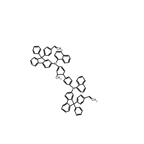 C=Cc1ccc(C2(c3ccccc3)c3ccccc3-c3ccc(N(C4=CC(C)C(c5ccc(N(c6ccc7c(c6)C(c6ccccc6)(c6ccc(C=C)cc6)c6ccccc6-7)c6cccc7ccccc67)cc5)C=C4)c4cccc5ccccc45)cc32)cc1